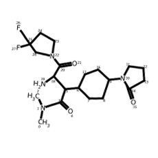 CN(C)C(=O)C(C1CCC(N2CCCC2=O)CC1)C(N)C(=O)N1CCC(F)(F)C1